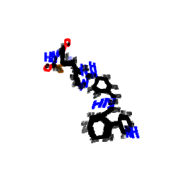 O=C1NC(=O)/C(=C/c2ccnc(N[C@H]3CC[C@H](CNCc4ccccc4C4=CNCC=C4)CC3)n2)S1